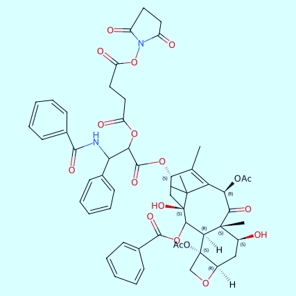 CC(=O)O[C@H]1C(=O)[C@@]2(C)[C@H](C(OC(=O)c3ccccc3)[C@]3(O)C[C@H](OC(=O)C(OC(=O)CCC(=O)ON4C(=O)CCC4=O)C(NC(=O)c4ccccc4)c4ccccc4)C(C)=C1C3(C)C)[C@]1(OC(C)=O)CO[C@@H]1C[C@@H]2O